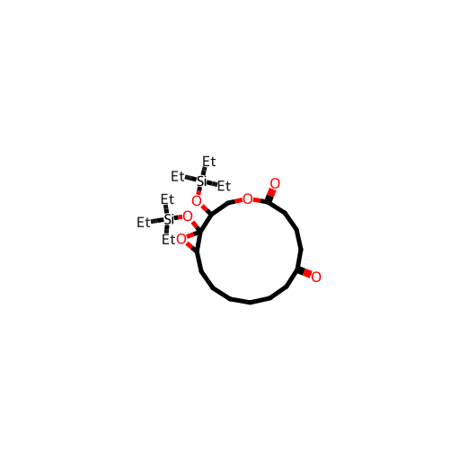 CC[Si](CC)(CC)OC1COC(=O)CCCC(=O)CCCCCCC2OC21O[Si](CC)(CC)CC